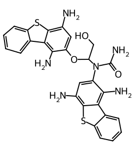 NC(=O)N(c1cc(N)c2sc3ccccc3c2c1N)C(CO)Oc1cc(N)c2sc3ccccc3c2c1N